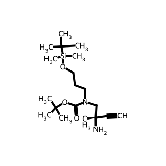 C#C[C@](C)(N)CN(CCCO[Si](C)(C)C(C)(C)C)C(=O)OC(C)(C)C